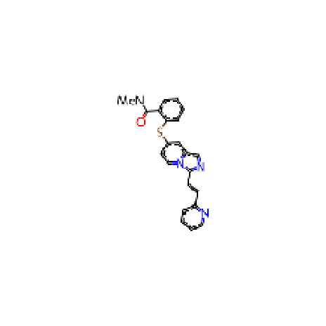 CNC(=O)c1ccccc1Sc1ccn2c(/C=C/c3ccccn3)ncc2c1